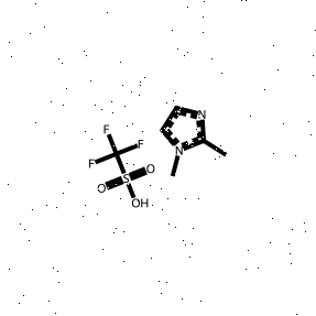 Cc1nccn1C.O=S(=O)(O)C(F)(F)F